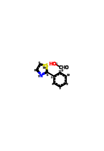 O=CO.c1ccc(-c2nccs2)cc1